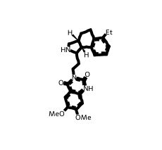 CCc1cccc2c1CC[C@H]1CNC(CCn3c(=O)[nH]c4cc(OC)c(OC)cc4c3=O)[C@@H]21